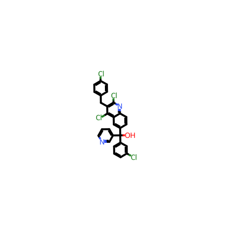 OC(c1cccnc1)(c1cccc(Cl)c1)c1ccc2nc(Cl)c(Cc3ccc(Cl)cc3)c(Cl)c2c1